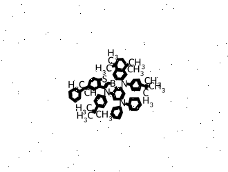 CC(C)(C)c1ccc(N2c3cc4c(cc3B3c5sc6ccc(C(C)(C)c7ccccc7)cc6c5N(c5ccc(C(C)(C)C)cc5)c5cc(N(c6ccccc6)c6ccccc6)cc2c53)C(C)(C)CCC4(C)C)cc1